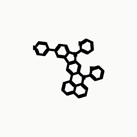 c1ccc(N2c3cc4c(cc3-c3cccc5cccc2c35)c2cc(-c3ccncc3)ccc2n4-c2ccccn2)nc1